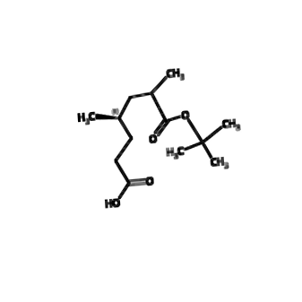 CC(C[C@H](C)CCC(=O)O)C(=O)OC(C)(C)C